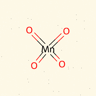 [O]=[Mn](=[O])(=[O])=[O]